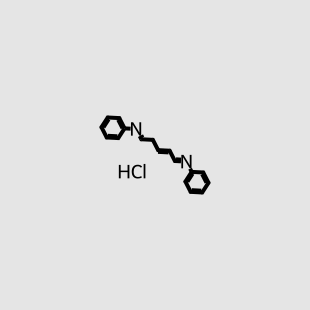 C(=CCC=Nc1ccccc1)C=Nc1ccccc1.Cl